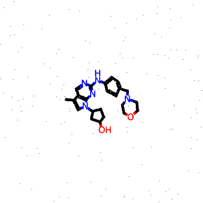 Cc1cn(C2CCC(O)C2)c2nc(Nc3ccc(CN4CCOCC4)cc3)ncc12